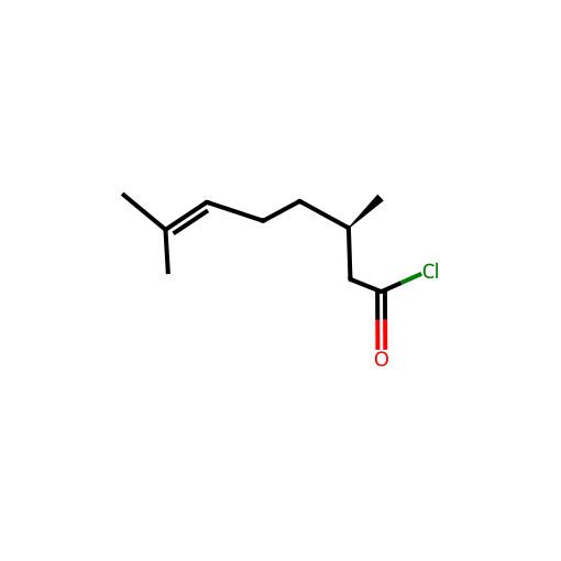 CC(C)=CCC[C@@H](C)CC(=O)Cl